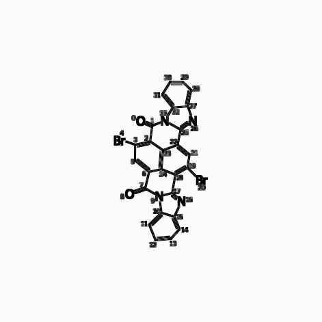 O=c1c2c(Br)cc3c(=O)n4c5ccccc5nc4c4c(Br)cc(c2c34)c2nc3ccccc3n12